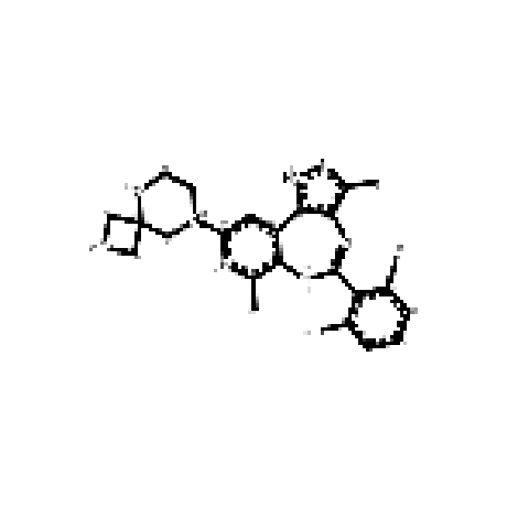 Cc1n[nH]c2c1N=C(c1c(F)cccc1F)Nc1c-2cc(N2CCOC3(COC3)C2)nc1C